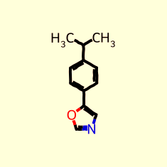 CC(C)c1ccc(-c2cnco2)cc1